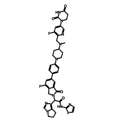 CN(Cc1ncc(N2CCC(=O)NC2=O)cc1F)C1CCN(c2ccc(-c3cc(F)c4c(c3)C(=O)N(C(C(=O)Nc3nccs3)c3ncn5c3CCC5)C4)cc2)CC1